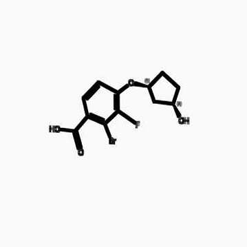 O=C(O)c1ccc(O[C@H]2CC[C@@H](O)C2)c(F)c1Br